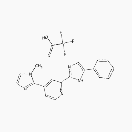 Cn1ccnc1-c1ccnc(-c2ncc(-c3ccccc3)[nH]2)c1.O=C(O)C(F)(F)F